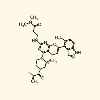 C=C(F)C(=O)N1CCN(c2nc(NCCC(=O)N(C)C)nc3c2CC=C(c2c(C)ccc4[nH]ncc24)O3)[C@@H](C)C1